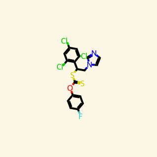 Fc1ccc(OC(=S)SC(Cn2ccnc2)c2c(Cl)cc(Cl)cc2Cl)cc1